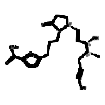 CCCC#CC[C@@H](C)[C@@H](O)C=C[C@H]1CCC(=O)N1CCCc1ccc(C(=O)OC)s1